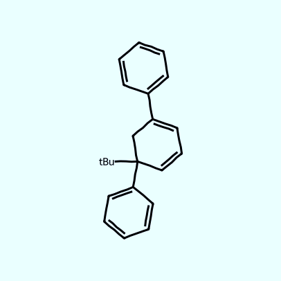 CC(C)(C)C1(c2ccccc2)C=CC=C(c2ccccc2)C1